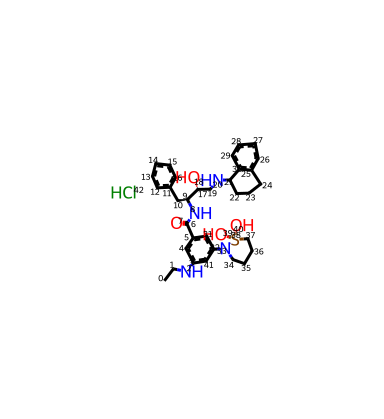 CCNc1cc(C(=O)N[C@@H](Cc2ccccc2)[C@H](O)CNC2CCCc3ccccc32)cc(N2CCCCS2(O)O)c1.Cl